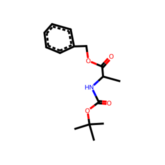 CC(NC(=O)OC(C)(C)C)C(=O)OCc1ccccc1